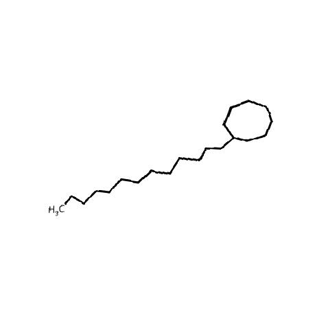 CCCCCCCCCCCCCC1CCCCCCC1